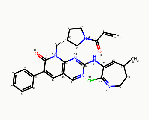 C=CC(=O)N1CC[C@@H](Cn2c(=O)c(-c3ccccc3)cc3cnc(NC4=CC(C)CCN=C4Cl)nc32)C1